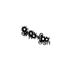 O=C1CC2(CCCC2)[C@@H](O)C(=O)N1CC[C@@H]1CC[C@H]2CN(c3noc4ccccc34)CCN2C1